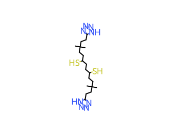 CC(C)(CCc1nnn[nH]1)CCC(S)CCC(S)CCC(C)(C)CCc1nnn[nH]1